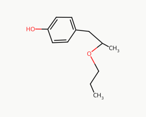 CCCOC(C)Cc1ccc(O)cc1